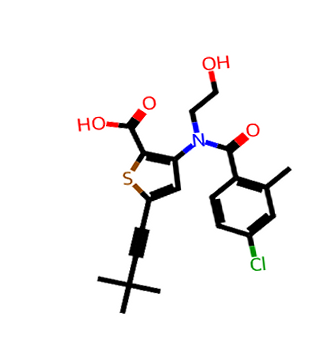 Cc1cc(Cl)ccc1C(=O)N(CCO)c1cc(C#CC(C)(C)C)sc1C(=O)O